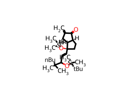 C=C1C[C@H]2[C@H](CC[C@@]2(/C=C/C(O[Si](C)(C)C(C)(C)C)C(C)(C)CCCC)O[Si](C)(C)C(C)(C)C)C1=O